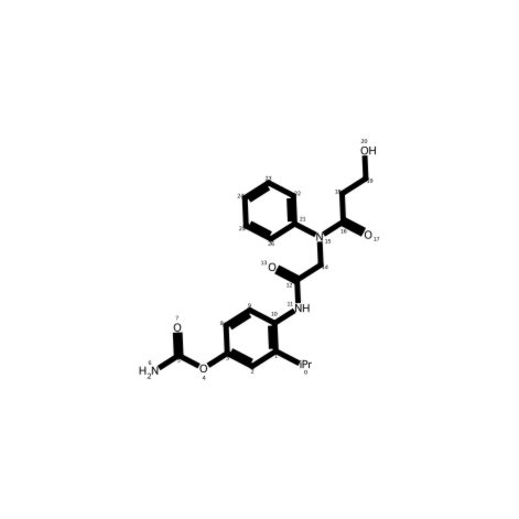 CC(C)c1cc(OC(N)=O)ccc1NC(=O)CN(C(=O)[CH]CO)c1ccccc1